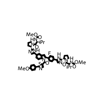 COC(=O)N[C@H](C(=O)N1CCC[C@H]1c1ncc(-c2cc(F)c3c(c2)OC(c2cnc(-c4ccc(OC)cc4)s2)n2c-3cc3cc(-c4cnc([C@@H]5CCCN5C(=O)[C@@H](NC(=O)OC)C(C)C)[nH]4)ccc32)[nH]1)C(C)C